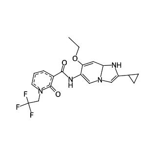 CCOC1=CC2NC(C3CC3)=CN2C=C1NC(=O)c1cccn(CC(F)(F)F)c1=O